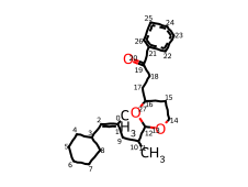 CC(=CC1CCCCC1)CC(C)C1OCCC(CCC(=O)c2ccccc2)O1